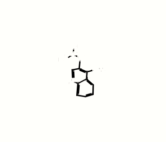 COc1c(OB(O)O)cnc2ccccc12